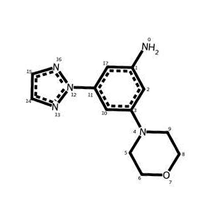 Nc1cc(N2CCOCC2)cc(-n2nccn2)c1